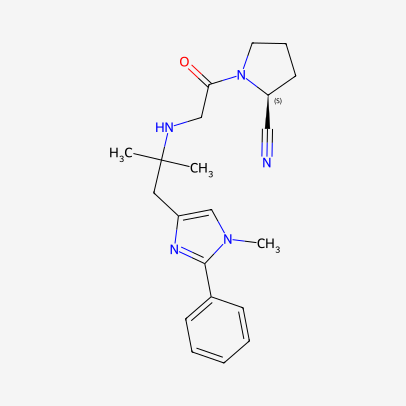 Cn1cc(CC(C)(C)NCC(=O)N2CCC[C@H]2C#N)nc1-c1ccccc1